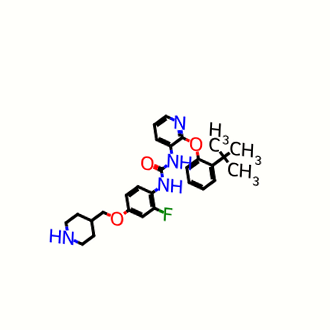 CC(C)(C)c1ccccc1Oc1ncccc1NC(=O)Nc1ccc(OCC2CCNCC2)cc1F